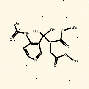 CC(C)(C)OC(=O)CC(C(=O)OC(C)(C)C)C(C)(O)c1cnccc1NC(=O)C(C)(C)C